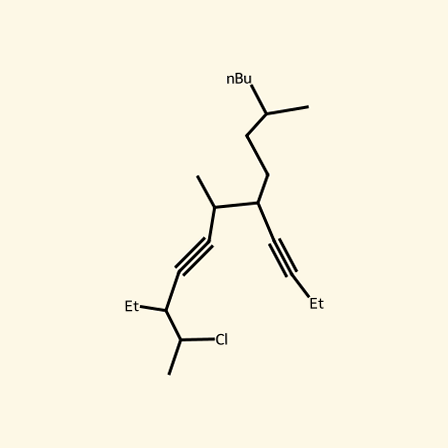 CCC#CC(CCC(C)CCCC)C(C)C#CC(CC)C(C)Cl